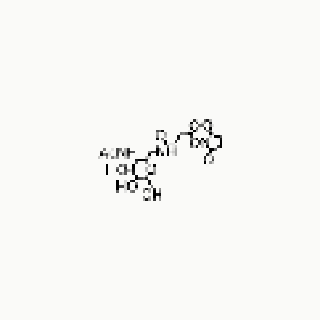 CC(=O)NC1C(CNC(=O)CCC(=O)ON2C(=O)CCC2=O)OC(CO)C(O)C1O